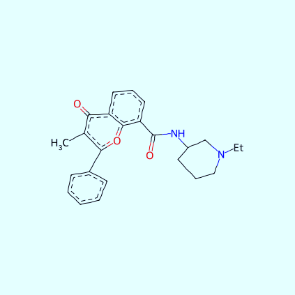 CCN1CCCC(NC(=O)c2cccc3c(=O)c(C)c(-c4ccccc4)oc23)C1